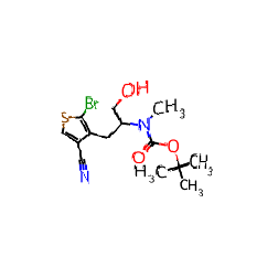 CN(C(=O)OC(C)(C)C)C(CO)Cc1c(C#N)csc1Br